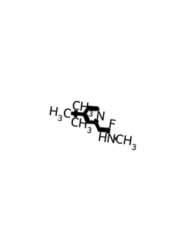 CN/C(F)=C/c1cc(C(C)(C)C)ccn1